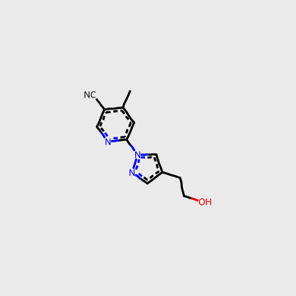 Cc1cc(-n2cc(CCO)cn2)ncc1C#N